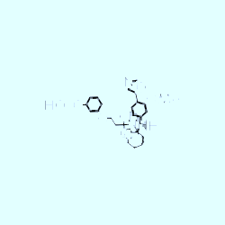 COc1cc(NC2(NC(C)(C)CCOc3cccc(C(=O)O)c3)CCCCO2)ccc1-c1cnco1